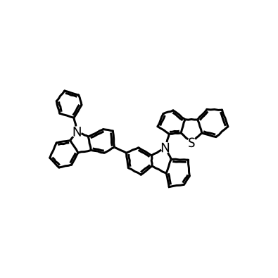 c1ccc(-n2c3ccccc3c3cc(-c4ccc5c6ccccc6n(-c6cccc7c6sc6ccccc67)c5c4)ccc32)cc1